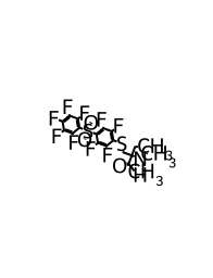 CCC(CSc1c(F)c(F)c(S(=O)(=O)c2c(F)c(F)c(F)c(F)c2F)c(F)c1F)(NC)C(C)=O